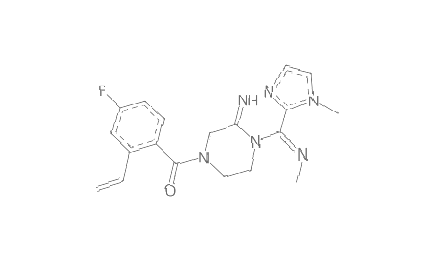 C=Cc1cc(F)ccc1C(=O)N1CCN(/C(=N\C)c2nccn2C)C(=N)C1